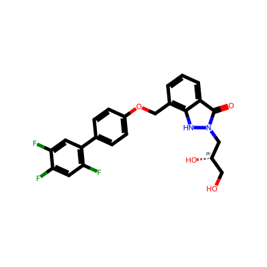 O=c1c2cccc(COc3ccc(-c4cc(F)c(F)cc4F)cc3)c2[nH]n1C[C@@H](O)CO